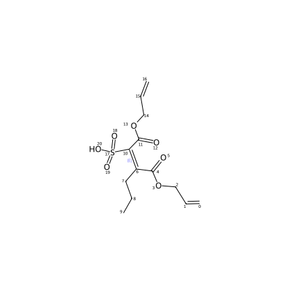 C=CCOC(=O)/C(CCC)=C(\C(=O)OCC=C)S(=O)(=O)O